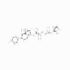 Cc1ccc(-c2ccc3c(CC(=O)NCCNCc4nccs4)c[nH]c3c2)cc1